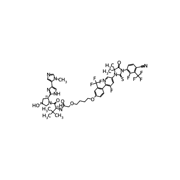 Cn1cncc1-c1c[nH]c([C@@H]2C[C@@H](O)CN2C(=O)[C@@H](NC(=O)COCCCCOc2ccc(-c3ncc(N4C(=S)N(c5ccc(C#N)c(C(F)(F)F)c5F)C(=O)C4(C)C)cc3F)c(C(F)(F)F)c2)C(C)(C)C)n1